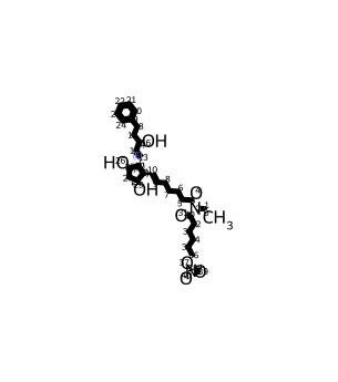 CCN(C(=O)CCCCC=C[C@@H]1[C@@H](/C=C/[C@@H](O)CCc2ccccc2)[C@H](O)C[C@@H]1O)C(=O)CCCCCO[N+](=O)[O-]